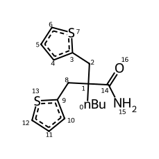 CCCCC(Cc1cccs1)(Cc1cccs1)C(N)=O